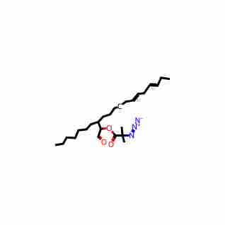 CC/C=C/C/C=C/CCCCCC(CCCCCCC)C(C=O)OC(=O)C(C)(C)N=[N+]=[N-]